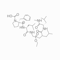 CCOP(=O)(CNC(=O)[C@H](CC(C)C)NC(=O)[C@@]1(Cc2ccccc2)CCCN1C(=O)O)CC(CC(C)C)C(=O)N[C@@H](CC(C)C)C(=O)NC